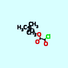 C[Si](C)(C)CCOC(=O)C(=O)Cl